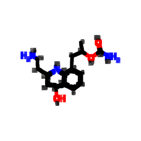 CC(Cc1cccc2c(O)cc(CCN)nc12)OC(N)=O